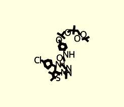 Cc1sc2c(c1C)C(c1ccc(Cl)cc1)=N[C@H](CC(=O)Nc1ccc(OC(C)(C)COCC(C)(C)CC(=O)OC(C)(C)C)cc1)c1nnc(C)n1-2